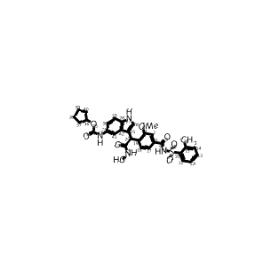 COc1cc(C(=O)NS(=O)(=O)c2ccccc2C)ccc1C(C(=O)NO)c1c[nH]c2ccc(NC(=O)OC3CCCC3)cc12